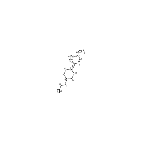 Cc1ccc(N2CCC(CCCl)CC2)nn1